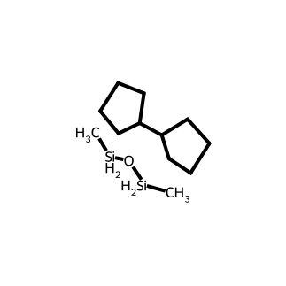 C1CCC(C2CCCC2)C1.C[SiH2]O[SiH2]C